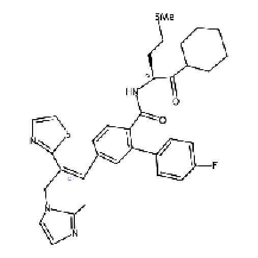 CSCC[C@H](NC(=O)c1ccc(/C=C(/Cn2ccnc2C)c2nccs2)cc1-c1ccc(F)cc1)C(=O)C1CCCCC1